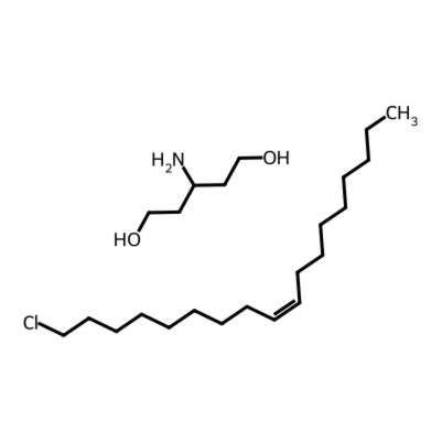 CCCCCCCC/C=C\CCCCCCCCCl.NC(CCO)CCO